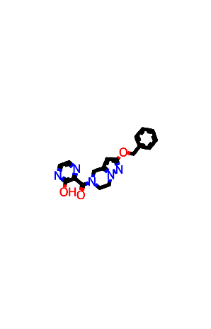 O=C(c1nccnc1O)N1CCn2nc(OCc3ccccc3)cc2C1